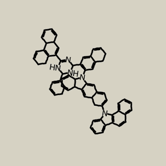 C1=CCCC(C2NC(C3=CC4C=CC=CC4C4=C3CCC=C4)=NC(c3cc4c(cc3N3C5=CC6=CC=C(n7c8ccccc8c8ccc9ccccc9c87)CC6C=C5C5C=CC=CC53)CCC=C4)N2)=C1